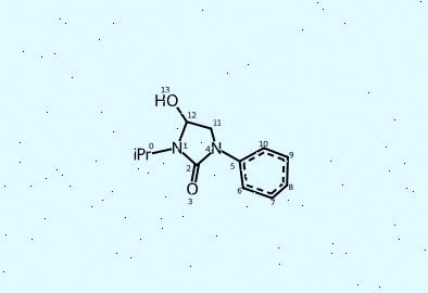 CC(C)N1C(=O)N(c2ccccc2)CC1O